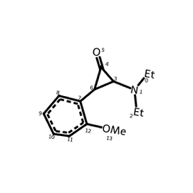 CCN(CC)C1C(=O)C1c1ccccc1OC